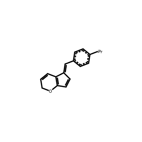 CC(C)c1ccc(C=C2C=CC3=C2C=CCO3)cc1